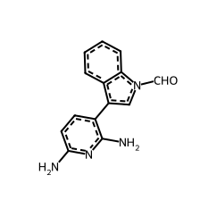 Nc1ccc(-c2cn(C=O)c3ccccc23)c(N)n1